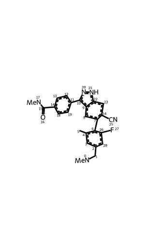 CNCc1cc(C)c(-c2cc3c(-c4ccc(C(=O)NC)cc4)n[nH]c3cc2C#N)c(F)c1